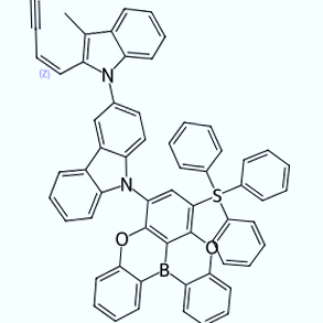 C#C/C=C\c1c(C)c2ccccc2n1-c1ccc2c(c1)c1ccccc1n2-c1cc(S(c2ccccc2)(c2ccccc2)c2ccccc2)c2c3c1Oc1ccccc1B3c1ccccc1O2